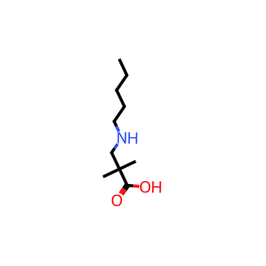 CCCCCNCC(C)(C)C(=O)O